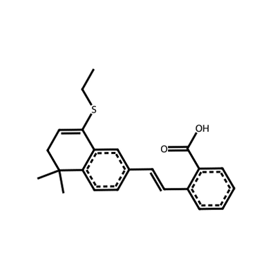 CCSC1=CCC(C)(C)c2ccc(C=Cc3ccccc3C(=O)O)cc21